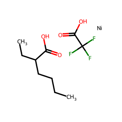 CCCCC(CC)C(=O)O.O=C(O)C(F)(F)F.[Ni]